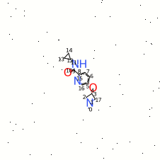 CN1CC(Oc2ccc(C(=O)NC3CC3)nc2)C1